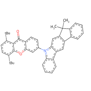 CC(C)(C)c1ccc(C(C)(C)C)c2c(=O)c3ccc(-n4c5ccccc5c5cc6c(cc54)C(C)(C)c4ccccc4-6)cc3oc12